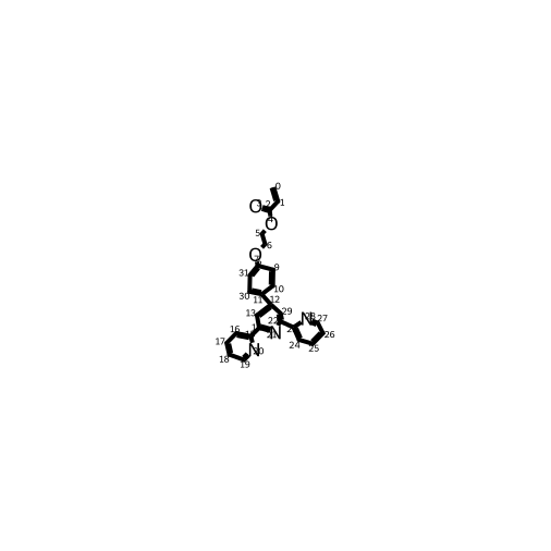 C=CC(=O)OCCOc1ccc(-c2cc(-c3ccccn3)nc(-c3ccccn3)c2)cc1